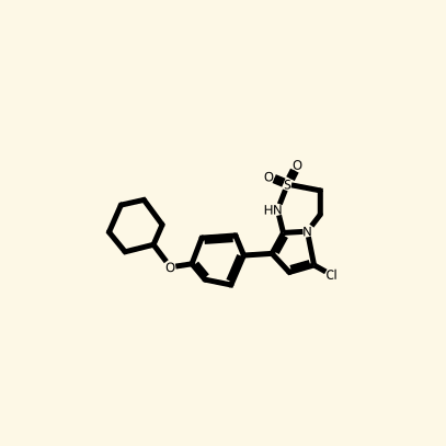 O=S1(=O)CCn2c(Cl)cc(-c3ccc(OC4CCCCC4)cc3)c2N1